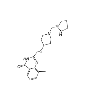 Cc1cccc2c(=O)[nH]c(CSC3CCN(C[C@@H]4CCCN4)CC3)nc12